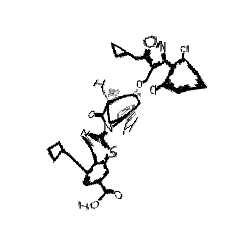 O=C(O)c1cc(C2CCC2)c2nc(N3C(=O)[C@@H]4C[C@H]3C[C@H]4OCc3c(-c4c(Cl)cccc4Cl)noc3C3CC3)sc2c1